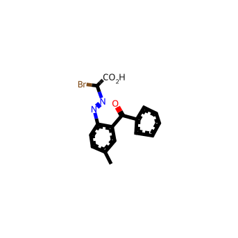 Cc1ccc(N=NC(Br)C(=O)O)c(C(=O)c2ccccc2)c1